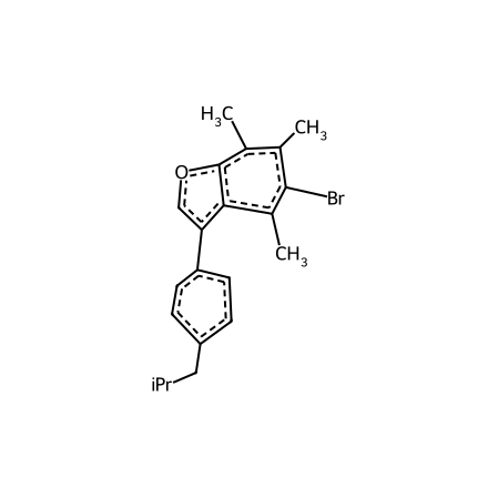 Cc1c(Br)c(C)c2c(-c3ccc(CC(C)C)cc3)coc2c1C